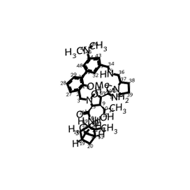 COc1c(CN2O[C@@H](CN)[C@@H]([C@H](C)O)[C@H]2C(=O)N[C@H]2C[C@H]3C[C@@H]([C@@H]2C)C3(C)C)cccc1-c1cc(CNCC2CCCN2C)cc(N(C)C)c1